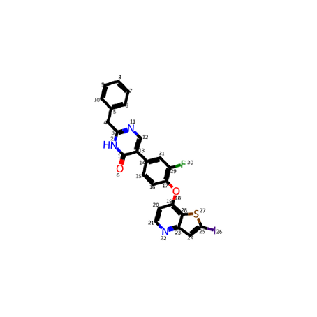 O=c1[nH]c(Cc2ccccc2)ncc1-c1ccc(Oc2ccnc3cc(I)sc23)c(F)c1